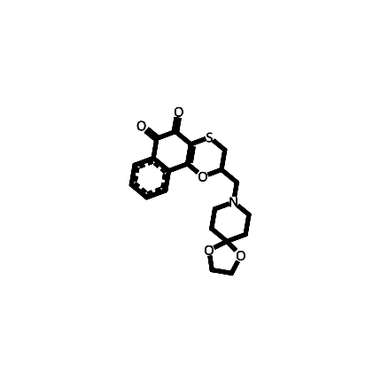 O=C1C(=O)c2ccccc2C2=C1SCC(CN1CCC3(CC1)OCCO3)O2